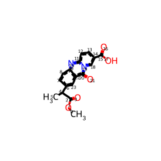 COC(=O)C(C)c1ccc2nc3ccc(C(=O)O)cn3c(=O)c2c1